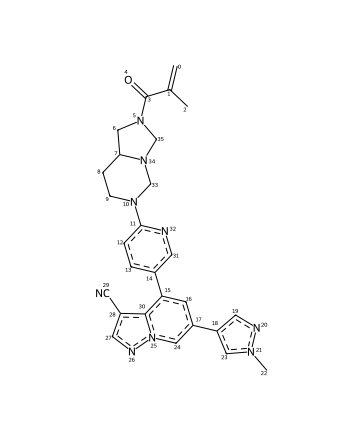 C=C(C)C(=O)N1CC2CCN(c3ccc(-c4cc(-c5cnn(C)c5)cn5ncc(C#N)c45)cn3)CN2C1